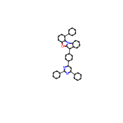 c1ccc(-c2cc(-c3ccc(-c4c5ccccc5n5c4oc4cccc(-c6ccccc6)c45)cc3)nc(-c3ccccc3)n2)cc1